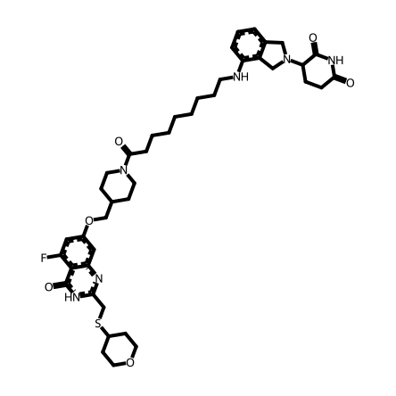 O=C1CCC(N2Cc3cccc(NCCCCCCCCC(=O)N4CCC(COc5cc(F)c6c(=O)[nH]c(CSC7CCOCC7)nc6c5)CC4)c3C2)C(=O)N1